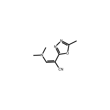 Cc1nnc(/C(C#N)=C\N(C)C)o1